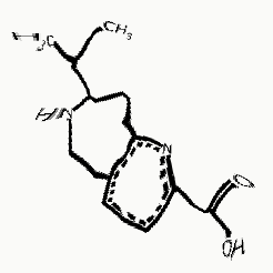 CC(C)C1Cc2nc(C(=O)O)ccc2CN1